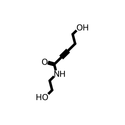 O=C(C#CCCO)NCCO